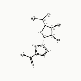 NC(=O)c1csc([C@@H]2O[C@H](C(O)P)[C@@H](O)[C@H]2O)n1